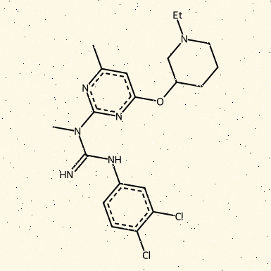 CCN1CCCC(Oc2cc(C)nc(N(C)C(=N)Nc3ccc(Cl)c(Cl)c3)n2)C1